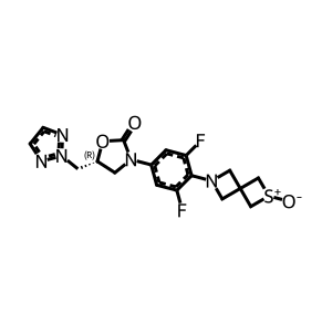 O=C1O[C@@H](Cn2nccn2)CN1c1cc(F)c(N2CC3(C2)C[S+]([O-])C3)c(F)c1